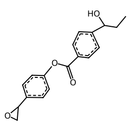 CCC(O)c1ccc(C(=O)Oc2ccc(C3CO3)cc2)cc1